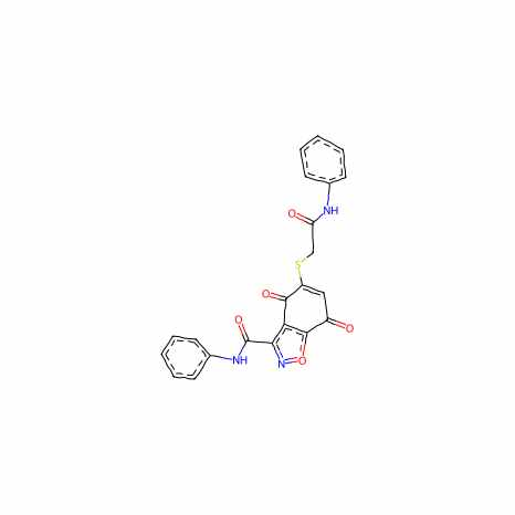 O=C(CSC1=CC(=O)c2onc(C(=O)Nc3ccccc3)c2C1=O)Nc1ccccc1